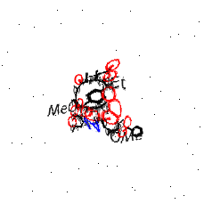 CC[C@H]1OC(=O)[C@H](C)[C@@H](O[C@H]2C[C@@](C)(OC)[C@@H](OC(=O)c3ccccc3)[C@H](C)O2)[C@H](C)[C@@H](O[C@@H]2O[C@H](C)C[C@H](N(C)C)[C@H]2OC(=O)c2ccccc2)[C@](C)(OC)C[C@@H](C)C(=O)[C@H](C)[C@H]2CC(=O)O[C@@]21C